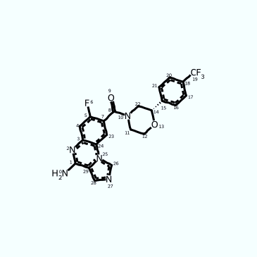 Nc1nc2cc(F)c(C(=O)N3CCO[C@@H](c4ccc(C(F)(F)F)cc4)C3)cc2n2cncc12